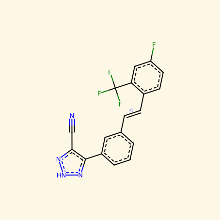 N#Cc1n[nH]nc1-c1cccc(/C=C/c2ccc(F)cc2C(F)(F)F)c1